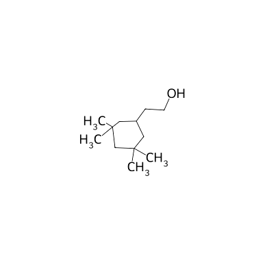 CC1(C)CC(CCO)CC(C)(C)C1